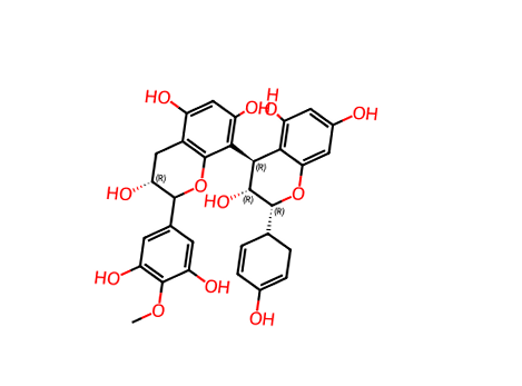 COc1c(O)cc(C2Oc3c(c(O)cc(O)c3[C@H]3c4c(O)cc(O)cc4O[C@H](C4C=CC(O)=CC4)[C@@H]3O)C[C@H]2O)cc1O